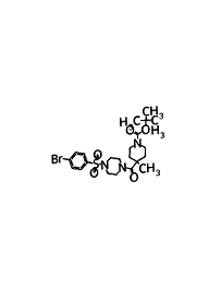 CC(C)(C)OC(=O)N1CCC(C)(C(=O)N2CCN(S(=O)(=O)c3ccc(Br)cc3)CC2)CC1